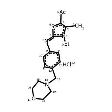 CCn1c(C)c(C(C)=O)sc1=Nc1ccc(CN2CCOCC2)cc1.Cl